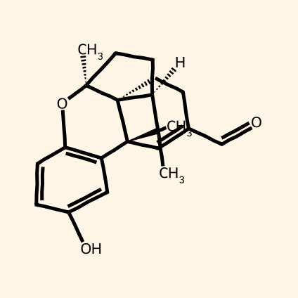 CC1(C)[C@@H]2CC[C@]3(C)Oc4ccc(O)cc4[C@]14C=C(C=O)CC[C@@]234